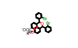 Brc1ccccc1C(OC(c1ccccc1)c1ccccc1Br)c1ccccc1.O=C([O-])[O-].[K+].[K+]